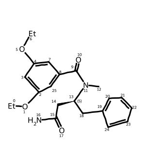 CCOc1cc(OCC)cc(C(=O)N(C)[C@H](CC(N)=O)Cc2ccccc2)c1